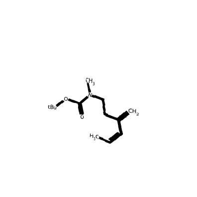 C=C(/C=C\C)CCN(C)C(=O)OC(C)(C)C